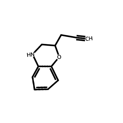 C#CCC1CNc2ccccc2O1